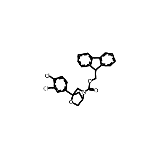 O=C(OCC1c2ccccc2-c2ccccc21)N1CC2(c3ccc(Cl)c(Cl)c3)CC1CO2